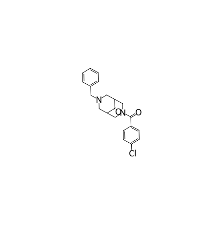 O=C1C2CN(Cc3ccccc3)CC1CN(C(=O)c1ccc(Cl)cc1)C2